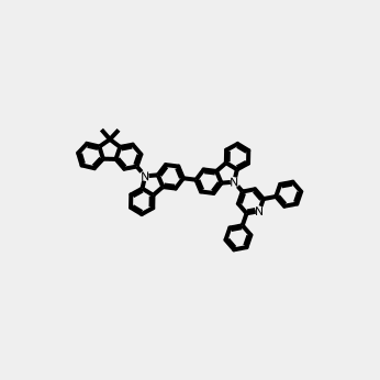 CC1(C)c2ccccc2-c2cc(-n3c4ccccc4c4cc(-c5ccc6c(c5)c5ccccc5n6-c5cc(-c6ccccc6)nc(-c6ccccc6)c5)ccc43)ccc21